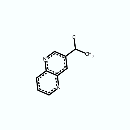 CC(Cl)c1cnc2cccnc2c1